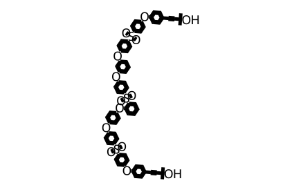 CC(C)(O)C#Cc1ccc(Oc2ccc(S(=O)(=O)c3ccc(Oc4ccc(Oc5ccccc5S(=O)(=O)c5ccc(Oc6cccc(Oc7ccc(S(=O)(=O)c8ccc(Oc9ccc(C#CC(C)(C)O)cc9)cc8)cc7)c6)cc5)cc4)cc3)cc2)cc1